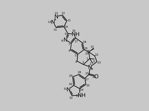 CC1(C)C2Cc3cc4nc(-c5ccnnc5)[nH]c4cc3[C@]1(C)CCN2C(=O)c1ccc2nc[nH]c2c1